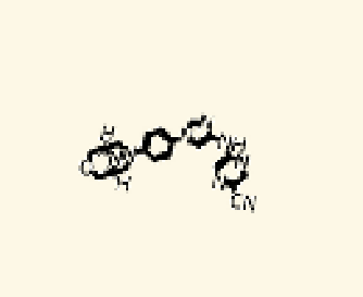 CN1[C@@H]2COC[C@H]1CN(c1ccc(-n3cnc(Nc4cnc(C#N)cn4)c3)cc1)C2